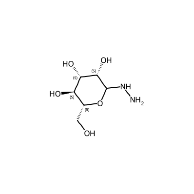 NNC1O[C@H](CO)[C@@H](O)[C@H](O)[C@@H]1O